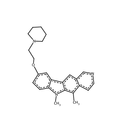 Cc1c2ccncc2cc2c3cc(OCCN4CCCCC4)ccc3n(C)c12